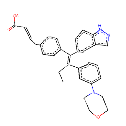 CCC(=C(c1ccc(C=CC(=O)O)cc1)c1ccc2[nH]ncc2c1)c1cccc(N2CCOCC2)c1